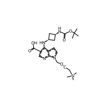 CC(C)(C)OC(=O)N[C@H]1C[C@@H](Nc2c(C(=O)O)cnc3c2ccn3COCC[Si](C)(C)C)C1